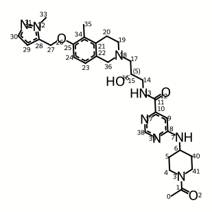 CC(=O)N1CCC(Nc2cc(C(=O)NC[C@H](O)CN3CCc4c(ccc(OCc5ccnn5C)c4C)C3)ncn2)CC1